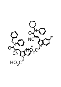 N#C/C(=C\c1cn(CC(=O)O)c2ccc(F)cc12)C(=O)N(Cc1ccccc1)c1ccccc1.N#C/C(=C\c1cn(CC(=O)O)c2ccc(F)cc12)C(=O)N(c1ccccc1)C1CCCCC1